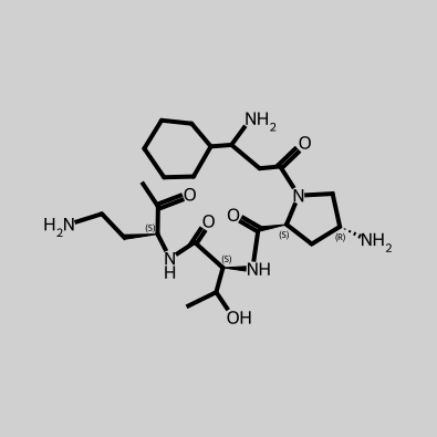 CC(=O)[C@H](CCN)NC(=O)[C@@H](NC(=O)[C@@H]1C[C@@H](N)CN1C(=O)CC(N)C1CCCCC1)C(C)O